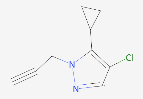 C#CCn1n[c]c(Cl)c1C1CC1